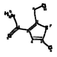 NC(=O)c1cc(Cl)sc1CCl